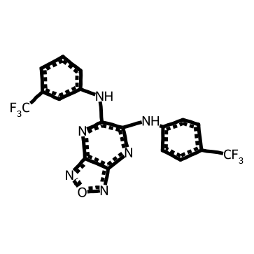 FC(F)(F)c1ccc(Nc2nc3nonc3nc2Nc2cccc(C(F)(F)F)c2)cc1